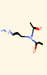 CC(=O)N(CCN)C(C)=O